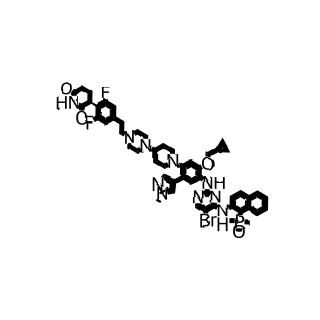 Cn1cc(-c2cc(Nc3ncc(Br)c(Nc4ccc5ccccc5c4P(C)(C)=O)n3)c(OCC3CC3)cc2N2CCC(N3CCN(CCc4cc(F)c([C@@H]5CCC(=O)NC5=O)c(F)c4)CC3)CC2)cn1